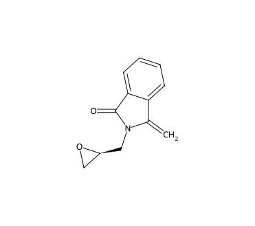 C=C1c2ccccc2C(=O)N1C[C@H]1CO1